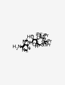 CC(C)[Si]1(C(C)C)OC[C@H]2O[C@@H](n3cnc4c(N)ncnc43)[C@@H](O)C2O[Si](C(C)C)(C(C)C)O1